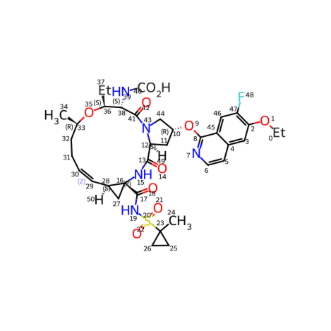 CCOc1cc2ccnc(O[C@@H]3C[C@H]4C(=O)N[C@]5(C(=O)NS(=O)(=O)C6(C)CC6)C[C@H]5/C=C\CC[C@@H](C)O[C@@H](CC)[C@H](NC(=O)O)C(=O)N4C3)c2cc1F